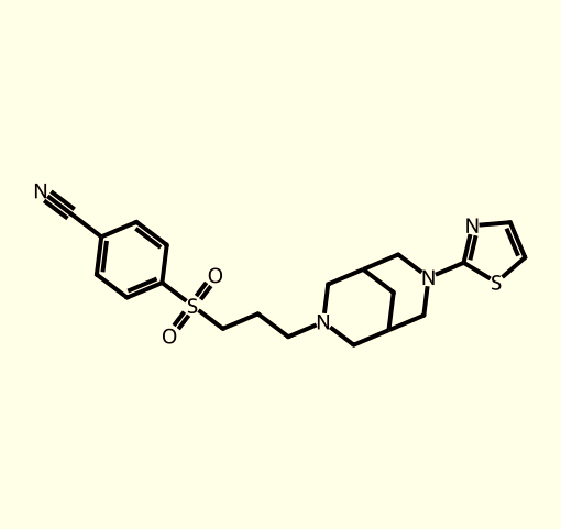 N#Cc1ccc(S(=O)(=O)CCCN2CC3CC(C2)CN(c2nccs2)C3)cc1